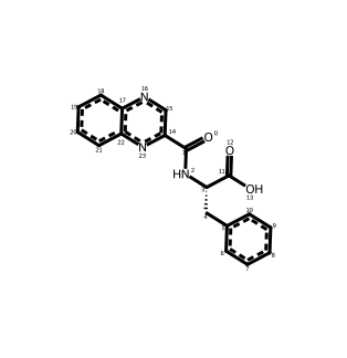 O=C(N[C@@H](Cc1ccccc1)C(=O)O)c1cnc2ccccc2n1